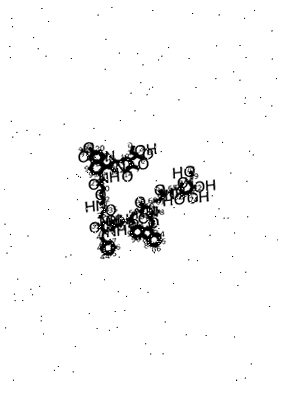 CC[C@@]1(O)C(=O)OCc2c1cc1n(c2=O)Cc2c-1nc1cc3c(c4c1c2[C@@H](NC(=O)COCNC(=O)CNC(=O)[C@H](Cc1ccccc1)NC(=O)CNC(=O)CNC(=O)[C@H](CCC(=O)NC[C@@H]1O[C@H](CO)[C@@H](O)[C@H](O)[C@H]1O)N(C)C(=O)OC1c2ccccc2-c2ccccc21)CC4)OCO3